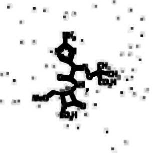 COC[C@H]1[C@@H](NC(=O)C(=NOC(C)(C)C(=O)O)c2csc(N)n2)C(=O)N1S(=O)(=O)O